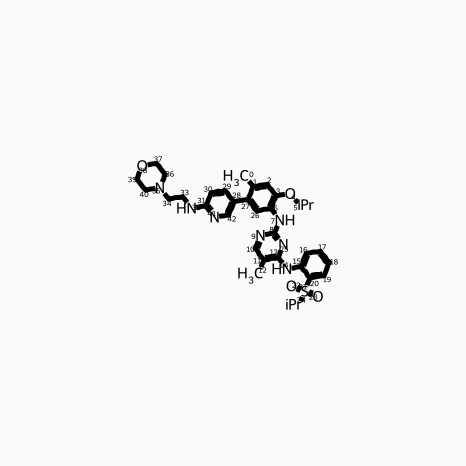 Cc1cc(OC(C)C)c(Nc2ncc(C)c(Nc3ccccc3S(=O)(=O)C(C)C)n2)cc1-c1ccc(NCCN2CCOCC2)nc1